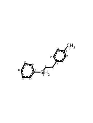 Cc1ccc(CC[SiH2]c2ccccc2)cc1